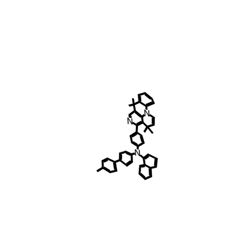 Cc1ccc(-c2ccc(N(c3ccc(-c4ncc5c6c4C(C)(C)C=CN6c4ccccc4C5(C)C)cc3)c3cccc4ccccc34)cc2)cc1